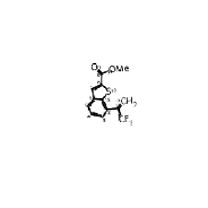 C=C(c1cccc2cc(C(=O)OC)sc12)C(F)(F)F